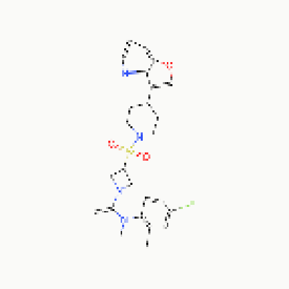 C=C(N1CC(S(=O)(=O)N2CCC(c3coc4cccnc34)CC2)C1)N(C)c1ccc(F)cc1C